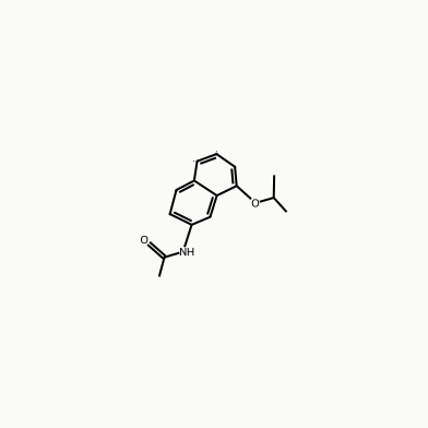 CC(=O)Nc1ccc2[c][c]cc(OC(C)C)c2c1